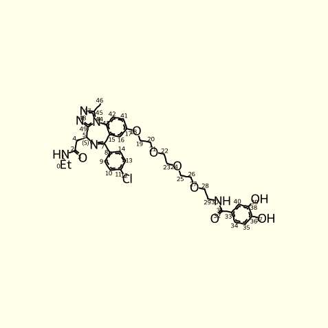 CCNC(=O)C[C@@H]1N=C(c2ccc(Cl)cc2)c2cc(OCCOCCOCCOCCNC(=O)c3ccc(O)c(O)c3)ccc2-n2c(C)nnc21